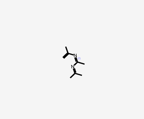 C=C(C)/N=C(/C)N=C(C)C